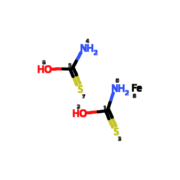 NC(O)=S.NC(O)=S.[Fe]